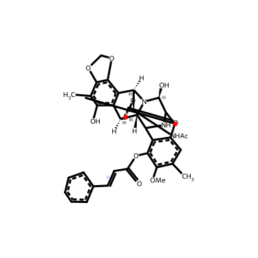 COc1c(C)cc2c(c1OC(=O)/C=C/c1ccccc1)C1NC(C2)[C@H](O)N2[C@H]1[C@@H]1SCC(NC(C)=O)C(=O)OC[C@H]2c2c3c(c(C)c(O)c21)OCO3